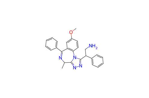 COc1ccc2c(c1)C(c1ccccc1)=NC(C)c1nnc(C(CN)c3ccccc3)n1-2